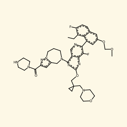 CCc1c(F)ccc2cc(OCOC)cc(-c3ncc4c(N5CCCn6nc(C(=O)N7CCNCC7)cc6C5)nc(OCC5(CN6CCOCC6)CC5)nc4c3F)c12